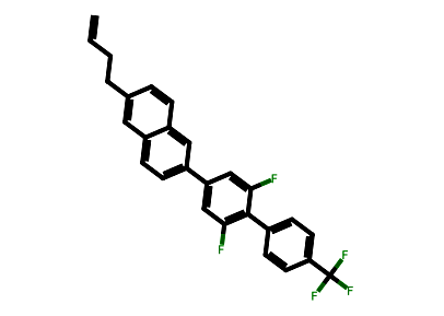 C=CCCc1ccc2cc(-c3cc(F)c(-c4ccc(C(F)(F)F)cc4)c(F)c3)ccc2c1